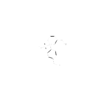 CCS(=O)(=O)[N+]1(c2ccc(CO)cc2)C=C(CN)C=CC1